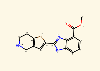 COC(=O)c1cccc2[nH]c(-c3cc4c(s3)CCNC4)nc12